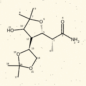 C[C@@H](C(N)=O)[C@H]1OC(C)(C)C(O)C1[C@H]1COC(C)(C)O1